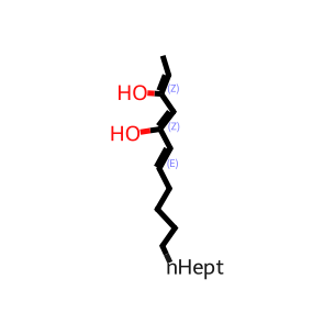 C/C=C(O)/C=C(O)/C=C/CCCCCCCCCCC